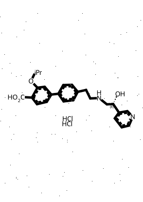 CC(C)Oc1cc(-c2ccc(CCNC[C@H](O)c3cccnc3)cc2)ccc1C(=O)O.Cl.Cl